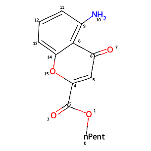 CCCCCOC(=O)c1cc(=O)c2c(N)cccc2o1